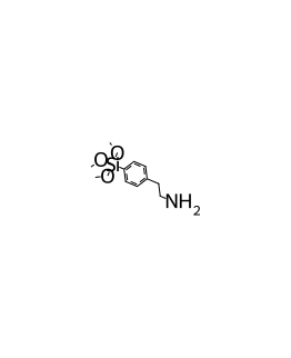 CO[Si](OC)(OC)c1ccc(CCN)cc1